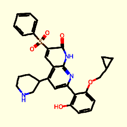 O=c1[nH]c2nc(-c3c(O)cccc3OCC3CC3)cc(C3CCCNC3)c2cc1S(=O)(=O)c1ccccc1